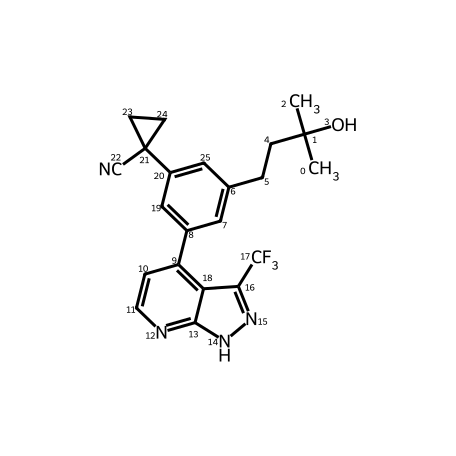 CC(C)(O)CCc1cc(-c2ccnc3[nH]nc(C(F)(F)F)c23)cc(C2(C#N)CC2)c1